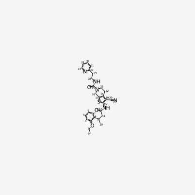 CCOc1ccccc1C(C)CC(=O)Nc1sc2c(c1C#N)CCN(C(=O)NCCc1ccccn1)C2